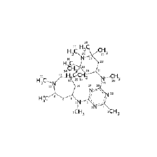 Cc1nc(N(C)C2CC(C)N(C)CC(C)(C)C2)nc(N(C)C2CC(C)(C)N(C)C(C)(C)C2)n1